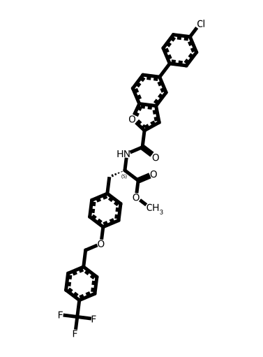 COC(=O)[C@H](Cc1ccc(OCc2ccc(C(F)(F)F)cc2)cc1)NC(=O)c1cc2cc(-c3ccc(Cl)cc3)ccc2o1